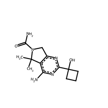 CC1(C)c2c(N)nc(C3(O)CCC3)nc2CN1C(N)=O